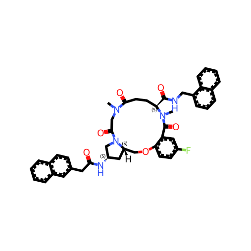 CN1CC(=O)N2C[C@@H](NC(=O)Cc3ccc4ccccc4c3)C[C@H]2COc2ccc(F)cc2C(=O)N(C)[C@H](C(=O)NCc2cccc3ccccc23)CCC1=O